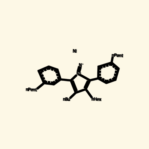 CCCCCCC1=C(c2cccc(CCCCC)c2)[N+](=[N-])C(c2cccc(CCCCC)c2)=C1CCCC.[Ni]